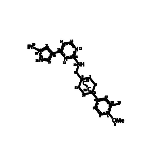 COc1ccc(C23CCC(CNc4nccc(-c5cnn(C(C)C)c5)n4)(CC2)CC3)cc1C